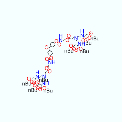 CCCCOC(=O)CC(NCCN(CCNC(CC(=O)OCCCC)C(=O)OCCCC)CCC(=O)OCCNC(=O)Oc1ccc(C(=O)c2ccc(OC(=O)NCCOC(=O)CCN(CCNC(CC(=O)OCCCC)C(=O)OCCCC)CCNC(CC(=O)OCCCC)C(=O)OCCCC)cc2)cc1)C(=O)OCCCC